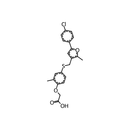 Cc1cc(SCc2cc(-c3ccc(Cl)cc3)oc2C)ccc1OCC(=O)O